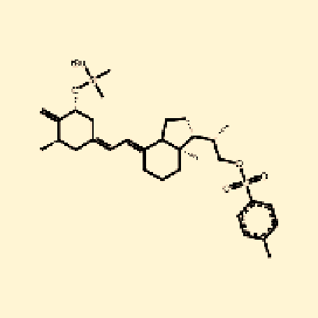 C=C1[C@H](C)C/C(=C/C=C2\CCC[C@@]3(C)C2CC[C@@H]3[C@H](C)COS(=O)(=O)c2ccc(C)cc2)C[C@H]1O[Si](C)(C)C(C)(C)C